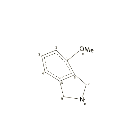 COc1cccc2c1C[N]C2